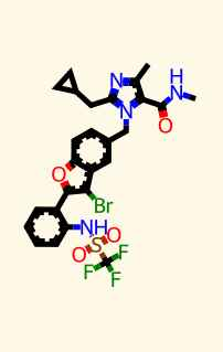 CNC(=O)c1c(C)nc(CC2CC2)n1Cc1ccc2oc(-c3ccccc3NS(=O)(=O)C(F)(F)F)c(Br)c2c1